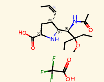 C/C=C\[C@H]1C[C@H](C(=O)O)N[C@H]1[C@@H](NC(C)=O)C(CC)(CC)OC.O=C(O)C(F)(F)F